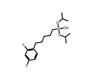 CC(C)O[Si](O)(CCCCCc1ccc(F)cc1F)OC(C)C